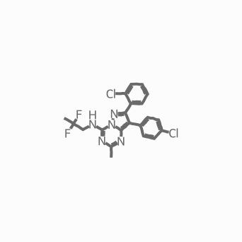 Cc1nc(NCC(C)(F)F)n2nc(-c3ccccc3Cl)c(-c3ccc(Cl)cc3)c2n1